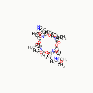 COC(C)c1ccnn1Cc1ccc(C[C@H]2OC(=O)[C@H](CC(C)C)N(C)C(=O)[C@@H](C)OC(=O)[C@H](CC(C)C)N(C)C(=O)[C@@H](Cc3ccc(Cn4nccc4C(C)OC)cc3)OC(=O)[C@H](CC(C)C)N(C)C(=O)[C@@H](C)OC(=O)[C@H](CC(C)C)N(C)C2=O)cc1